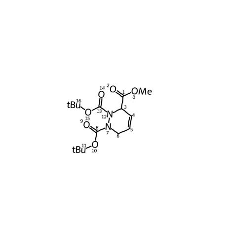 COC(=O)C1C=CCN(C(=O)OC(C)(C)C)N1C(=O)OC(C)(C)C